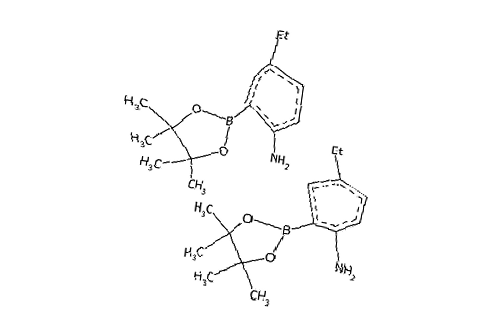 CCc1ccc(N)c(B2OC(C)(C)C(C)(C)O2)c1.CCc1ccc(N)c(B2OC(C)(C)C(C)(C)O2)c1